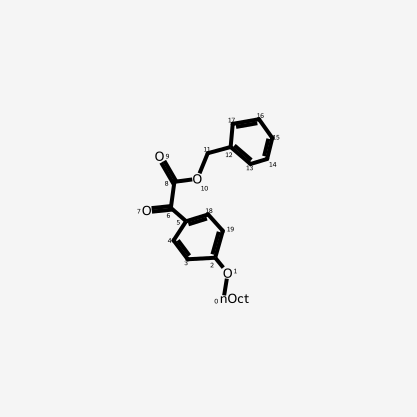 CCCCCCCCOc1ccc(C(=O)C(=O)OCc2ccccc2)cc1